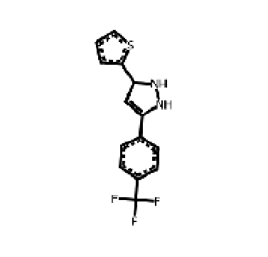 FC(F)(F)c1ccc(C2=CC(c3cccs3)NN2)cc1